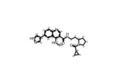 CC(C)Nc1c(C(=O)NCCC2CCCN2C(=O)C2CC2)cnc2ccc(-c3cn[nH]c3)cc12